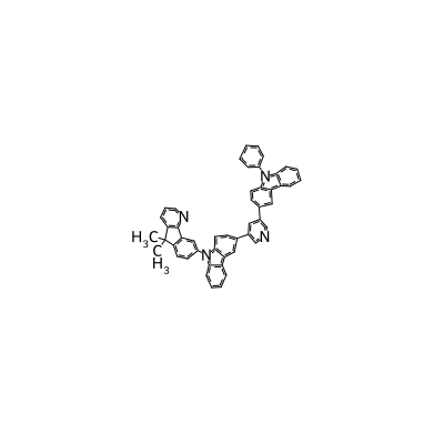 CC1(C)c2ccc(-n3c4ccccc4c4cc(-c5cncc(-c6ccc7c(c6)c6ccccc6n7-c6ccccc6)c5)ccc43)cc2-c2ncccc21